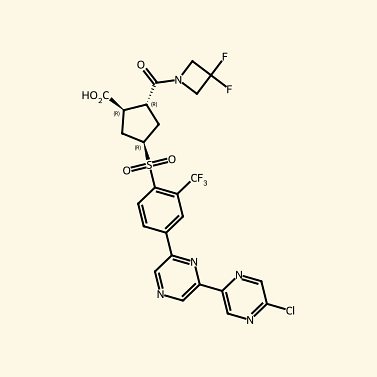 O=C(O)[C@@H]1C[C@H](S(=O)(=O)c2ccc(-c3cncc(-c4cnc(Cl)cn4)n3)cc2C(F)(F)F)C[C@H]1C(=O)N1CC(F)(F)C1